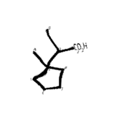 CC(C(=O)O)C1(C)CCCC1